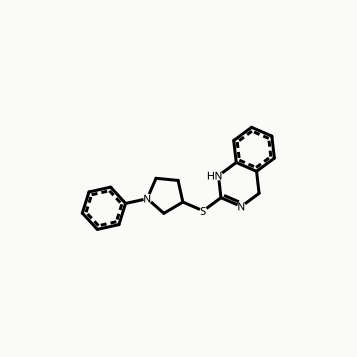 c1ccc(N2CCC(SC3=NCc4ccccc4N3)C2)cc1